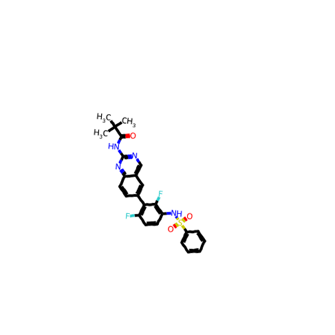 CC(C)(C)C(=O)Nc1ncc2cc(-c3c(F)ccc(NS(=O)(=O)c4ccccc4)c3F)ccc2n1